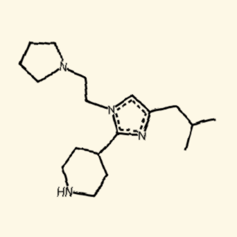 CC(C)Cc1cn(CCN2CCCC2)c(C2CCNCC2)n1